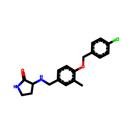 Cc1cc(CNC2CCNC2=O)ccc1OCc1ccc(Cl)cc1